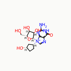 Nc1nc2c(c(=O)[nH]1)N=C[N+]2([C@@H]1CC[C@H](O)C1)[C@@H]1O[C@H](CO)[C@@H](O)[C@H]1O